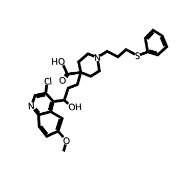 COc1ccc2ncc(Cl)c(C(O)CCC3(C(=O)O)CCN(CCCSc4ccccc4)CC3)c2c1